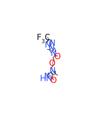 Cc1cn(CCOCCC(=O)N2CCN(c3ncc(C(F)(F)F)cn3)C(C)C2)c2cn[nH]c(=O)c12